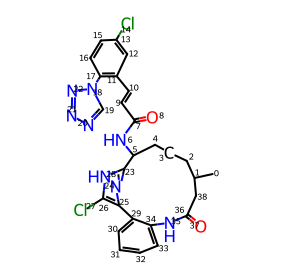 CC1CCCC(NC(=O)C=Cc2cc(Cl)ccc2-n2cnnn2)c2nc(c(Cl)[nH]2)-c2ccccc2NC(=O)C1